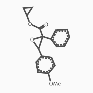 COc1ccc(C2OC2(C(=O)OC2CC2)c2ccccc2)cc1